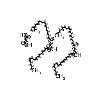 CCCCC/C=C\C/C=C\CCCCCCCC(=O)OCC(CO)OC(=O)CCCCCCC/C=C\C/C=C\CCCCC.CCCCC/C=C\C/C=C\CCCCCCCC(=O)OCC(CO)OC(=O)CCCCCCC/C=C\C/C=C\CCCCC.O=C(O)CCC(=O)O